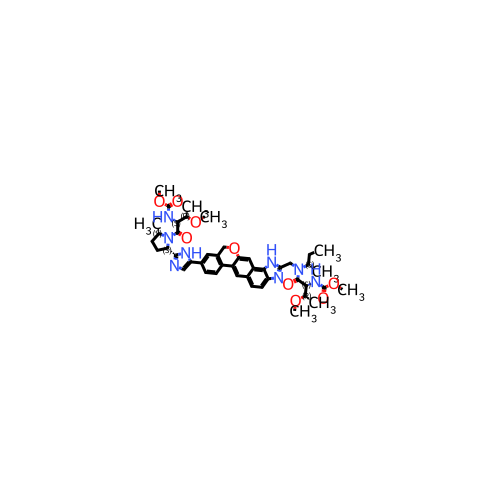 CC[C@H](C)N(Cc1nc2ccc3cc4c(cc3c2[nH]1)OCc1cc(-c2cnc([C@@H]3CC[C@H](C)N3C(=O)[C@@H](NC(=O)OC)[C@@H](C)OC)[nH]2)ccc1-4)C(=O)[C@@H](NC(=O)OC)[C@@H](C)OC